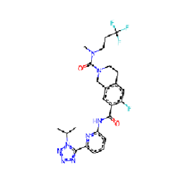 CC(C)n1nnnc1-c1cccc(NC(=O)c2cc3c(cc2F)CCN(C(=O)N(C)CCC(F)(F)F)C3)n1